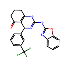 O=C1CCCC2=C1C(c1cccc(C(F)(F)F)c1)N=C(Nc1nc3ccccc3o1)N2